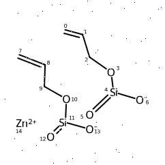 C=CCO[Si](=O)[O-].C=CCO[Si](=O)[O-].[Zn+2]